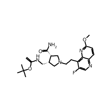 C=C(NC[C@H]1CN(CCc2c(F)cnc3ccc(OC)nc23)C[C@H]1C(N)=O)OC(C)(C)C